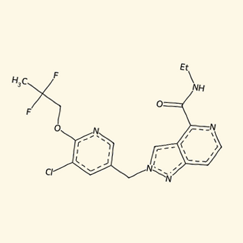 CCNC(=O)c1nccc2nn(Cc3cnc(OCC(C)(F)F)c(Cl)c3)cc12